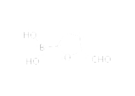 O=CC1CC=C(B(O)O)O1